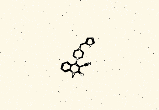 Cn1c(=O)c(C#N)c(N2CCN(Cc3cccs3)CC2)c2ccccc21